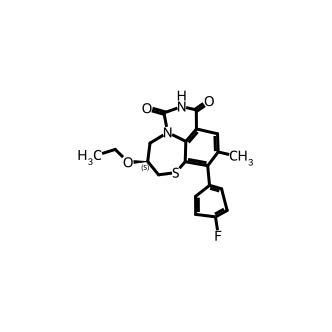 CCO[C@@H]1CSc2c(-c3ccc(F)cc3)c(C)cc3c(=O)[nH]c(=O)n(c23)C1